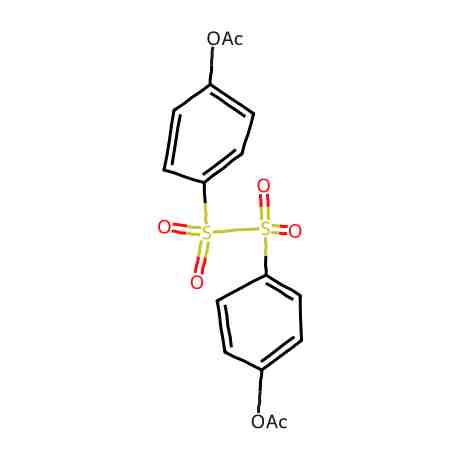 CC(=O)Oc1ccc(S(=O)(=O)S(=O)(=O)c2ccc(OC(C)=O)cc2)cc1